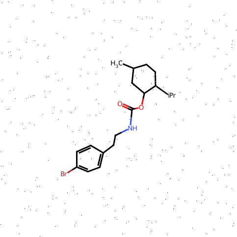 CC1CCC(C(C)C)C(OC(=O)NCCc2ccc(Br)cc2)C1